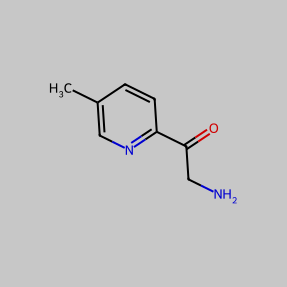 Cc1ccc(C(=O)CN)nc1